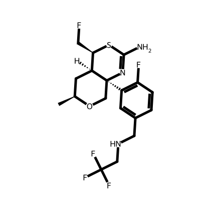 C[C@H]1C[C@H]2[C@@H](CF)SC(N)=N[C@@]2(c2cc(CNCC(F)(F)F)ccc2F)CO1